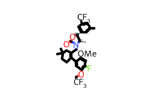 COc1cc(F)c(OCC(F)(F)F)cc1C1=C(CN2C(=O)O[C@H](c3cc(C)cc(C(F)(F)F)c3)[C@@H]2C)CC(C)(C)CC1